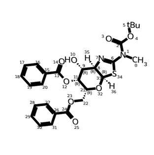 CN(C(=O)OC(C)(C)C)C1=N[C@@H]2[C@@H](O)[C@@H](OC(=O)c3ccccc3)[C@@H](COC(=O)c3ccccc3)O[C@@H]2S1